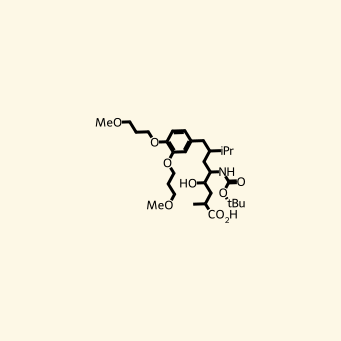 COCCCOc1ccc(CC(CC(NC(=O)OC(C)(C)C)C(O)CC(C)C(=O)O)C(C)C)cc1OCCCOC